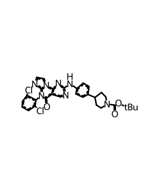 CC(C)(C)OC(=O)N1CCC(c2ccc(Nc3ncc4c(=O)n(-c5c(Cl)cccc5Cl)c5nccn5c4n3)cc2)CC1